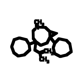 C=C(C)CC1(C2CCCCCCCC2)CCN(C)CC2CC2(C2CCCCCCCC2)CC1